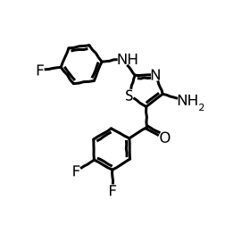 Nc1nc(Nc2ccc(F)cc2)sc1C(=O)c1ccc(F)c(F)c1